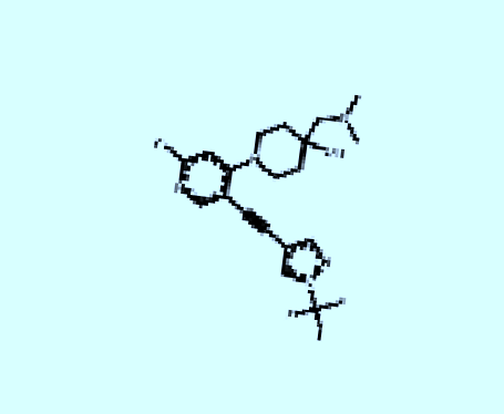 CN(C)CC1(O)CCN(c2cc(Cl)ncc2C#Cc2cnn(C(F)(F)F)c2)CC1